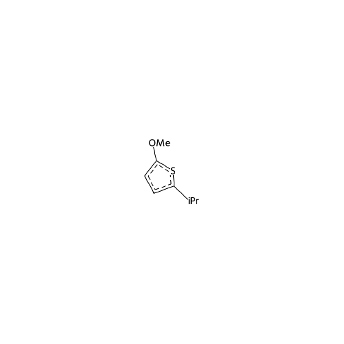 COc1ccc(C(C)C)s1